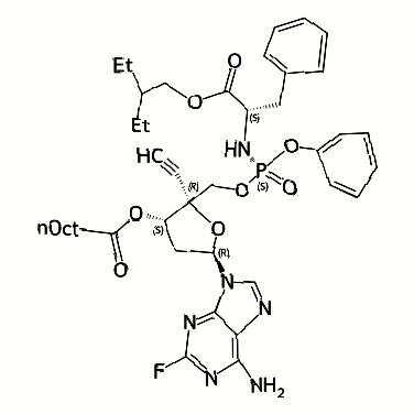 C#C[C@]1(CO[P@@](=O)(N[C@@H](Cc2ccccc2)C(=O)OCC(CC)CC)Oc2ccccc2)O[C@@H](n2cnc3c(N)nc(F)nc32)C[C@@H]1OC(=O)CCCCCCCC